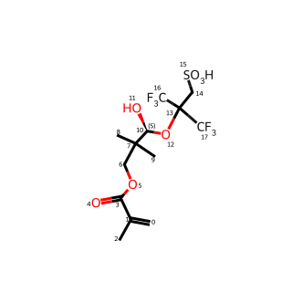 C=C(C)C(=O)OCC(C)(C)[C@@H](O)OC(CS(=O)(=O)O)(C(F)(F)F)C(F)(F)F